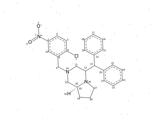 O=[N+]([O-])c1ccc(Cl)c(CN2CC(C(c3ccccc3)c3ccccc3)N3CCC[C@H]3C2)c1